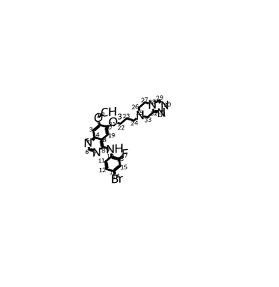 COc1cc2ncnc(Nc3ccc(Br)cc3F)c2cc1OCCCN1CCn2cnnc2C1